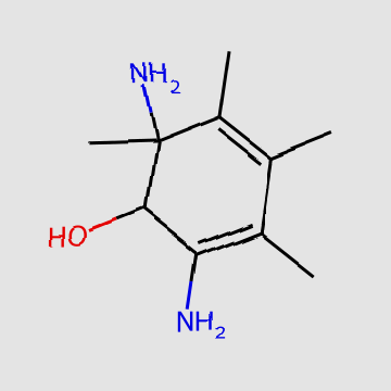 CC1=C(N)C(O)C(C)(N)C(C)=C1C